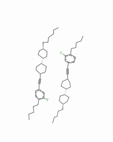 CCCCCC[C@H]1CC[C@H](C2CCC(C#Cc3ccc(CCCCC)c(F)c3)CC2)CC1.CCCCCc1ccc(C#CC2CCC([C@H]3CC[C@H](CCCCC)CC3)CC2)cc1F